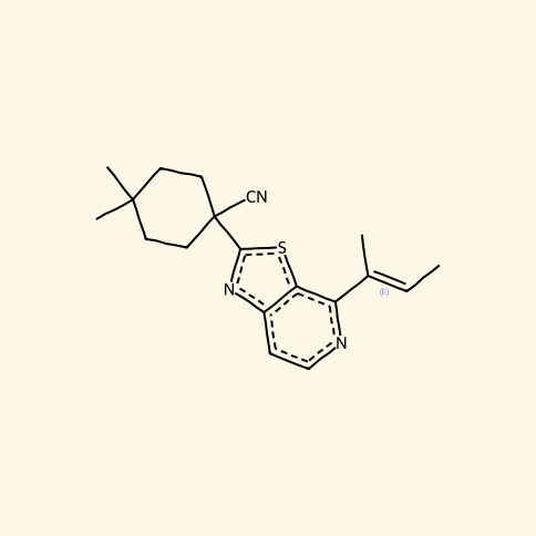 C/C=C(\C)c1nccc2nc(C3(C#N)CCC(C)(C)CC3)sc12